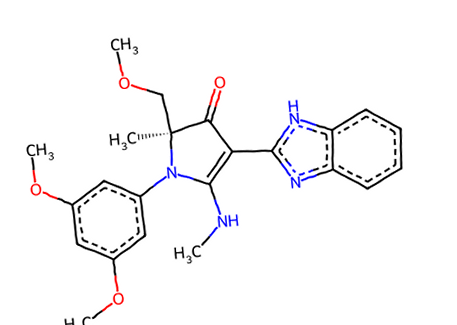 CNC1=C(c2nc3ccccc3[nH]2)C(=O)[C@](C)(COC)N1c1cc(OC)cc(OC)c1